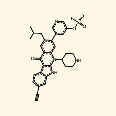 C#Cc1ccc2c(c1)[nH]c1c2c(=O)c2cc(CC(C)C)c(-c3cncc(OS(=O)(=O)F)c3)cc2n1C1CCNCC1